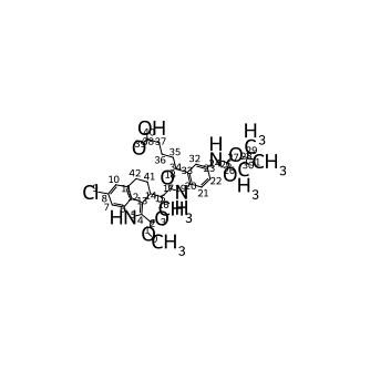 COC(=O)c1[nH]c2cc(Cl)cc3c2c1C(C(C)C(=O)Nc1ccc(NC(=O)OC(C)(C)C)cc1CCCCC(=O)O)CC3